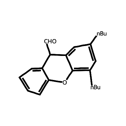 CCCCc1cc(CCCC)c2c(c1)C(C=O)c1ccccc1O2